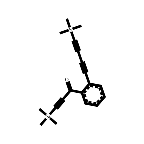 C[Si](C)(C)C#CC#Cc1ccccc1C(=O)C#C[Si](C)(C)C